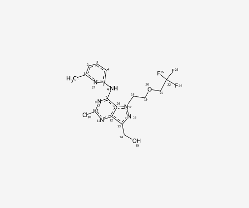 Cc1cccc(Nc2nc(Cl)nc3c(CO)nn(CCOCC(F)(F)F)c23)n1